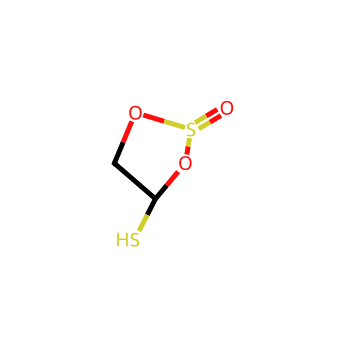 O=S1OCC(S)O1